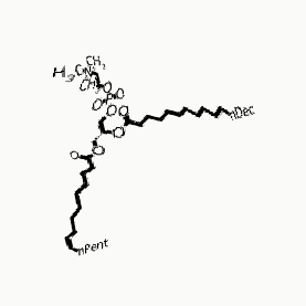 CCCCC/C=C\CCCCCCCC(=O)OC[C@H](COP(=O)([O-])OCC[N+](C)(C)C)OC(=O)CCCCCCCCCCCCCCCCCCCC